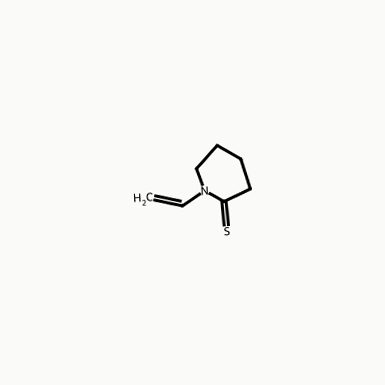 C=CN1CCCCC1=S